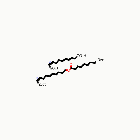 CCCCCCCC/C=C\CCCCCCCC(=O)O.CCCCCCCC/C=C\CCCCCCCCOC(=O)CCCCCCCCCCCCCCCCC